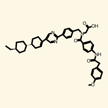 CC[C@H]1CC[C@H](C2CC=C(c3cnc(-c4ccc(CN(CC(=O)O)C(=O)c5ccc(NC(=O)Cc6ccc(OC)cc6)cc5)cc4)nc3)CC2)CC1